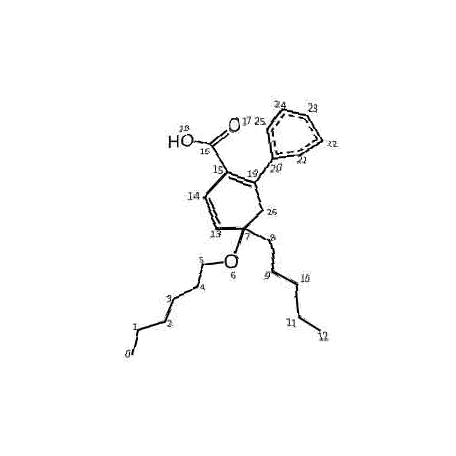 CCCCCCOC1(CCCCC)C=CC(C(=O)O)=C(c2ccccc2)C1